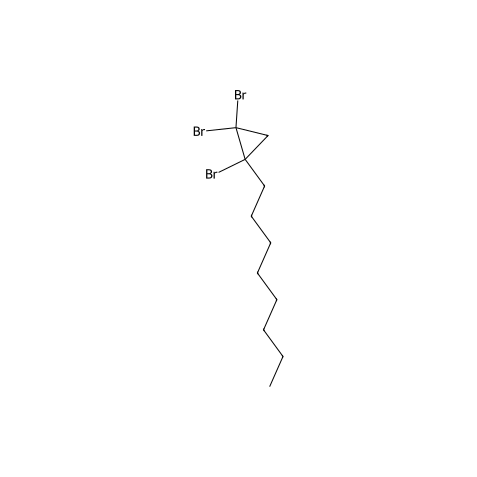 CCCCCCCCC1(Br)CC1(Br)Br